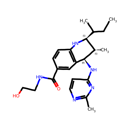 CCC(C)[C@@H]1Nc2ccc(C(=O)NCCO)cc2[C@H](Nc2ccnc(C)n2)[C@H]1C